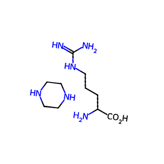 C1CNCCN1.N=C(N)NCCCC(N)C(=O)O